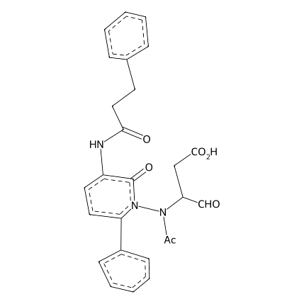 CC(=O)N(C(C=O)CC(=O)O)n1c(-c2ccccc2)ccc(NC(=O)CCc2ccccc2)c1=O